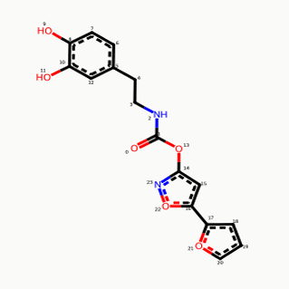 O=C(NCCc1ccc(O)c(O)c1)Oc1cc(-c2ccco2)on1